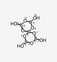 OB1OB(O)O[B-]2(O1)OB(O)OB(O)O2